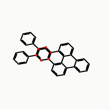 C1=C=C(c2cccc3c4ccccc4c4cccc(C5=NC(c6ccccc6)=CCC5)c4c23)N=C(c2ccccc2)C=1